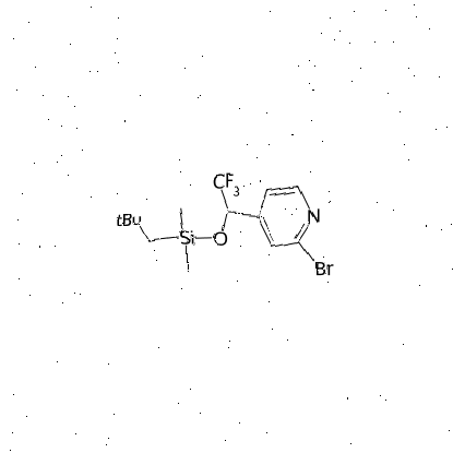 CC(C)(C)C[Si](C)(C)OC(c1ccnc(Br)c1)C(F)(F)F